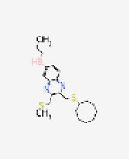 CCCBc1ccc2nc(CSC3CCCCCCC3)c(CSC)nc2c1